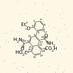 CCOc1cccc(C)c1-c1cc(C(N)=O)c2c(C(=O)O)ccc(C(=O)O)c2c1C(N)=O